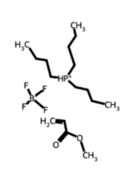 C=CC(=O)OC.CCCC[PH+](CCCC)CCCC.F[B-](F)(F)F